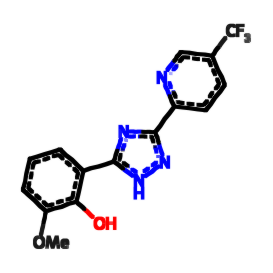 COc1cccc(-c2nc(-c3ccc(C(F)(F)F)cn3)n[nH]2)c1O